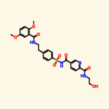 COc1ccc(OC)c(C(=O)NCCc2ccc(S(=O)(=O)NC(=O)c3ccc(C(=O)NCCO)nc3)cc2)c1